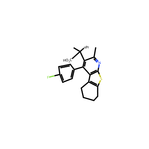 CCCC(C)(C(=O)O)c1c(C)nc2sc3c(c2c1-c1ccc(F)cc1)CCCC3